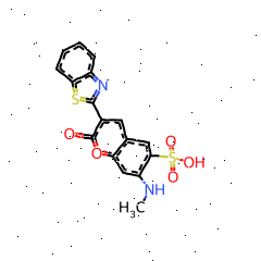 CNc1cc2oc(=O)c(-c3nc4ccccc4s3)cc2cc1S(=O)(=O)O